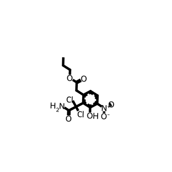 CCCOC(=O)Cc1ccc([N+](=O)[O-])c(O)c1C(Cl)(Cl)C(N)=O